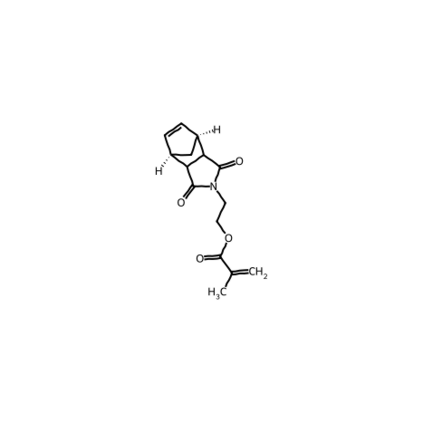 C=C(C)C(=O)OCCN1C(=O)C2C(C1=O)[C@H]1C=C[C@@H]2C1